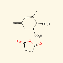 C=C1C=C(C)C(C(=O)O)C(C(=O)O)C1.O=C1CCC(=O)O1